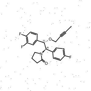 CC#CCO[C@@H](c1ccc(F)c(F)c1)[C@@H](c1ccc(F)cc1)N1CCCC1=O